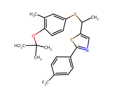 Cc1cc(SC(C)c2cnc(-c3ccc(C(F)(F)F)cc3)s2)ccc1OC(C)(C)C(=O)O